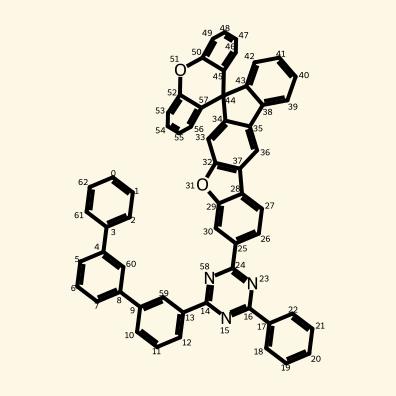 c1ccc(-c2cccc(-c3cccc(-c4nc(-c5ccccc5)nc(-c5ccc6c(c5)oc5cc7c(cc56)-c5ccccc5C75c6ccccc6Oc6ccccc65)n4)c3)c2)cc1